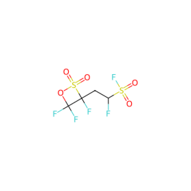 O=S(=O)(F)C(F)CC1(F)C(F)(F)OS1(=O)=O